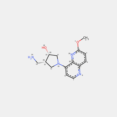 COc1ccc2nccc(N3C[C@H](CN)[C@H](O)C3)c2n1